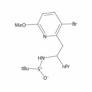 CCCC(Cc1nc(OC)ccc1Br)N[S+]([O-])C(C)(C)C